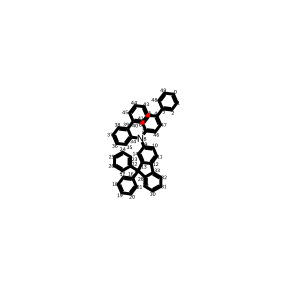 c1ccc(-c2ccc(N(c3ccc4c(c3)C(c3ccccc3)(c3ccccc3)c3ccccc3-4)c3ccccc3-c3ccccc3)cc2)cc1